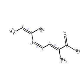 C\C=C(/N=C\C=C(/N)C(N)=O)C(C)(C)C